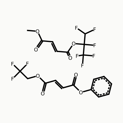 COC(=O)C=CC(=O)OC(F)(C(F)F)C(F)(F)F.O=C(C=CC(=O)Oc1ccccc1)OCC(F)(F)F